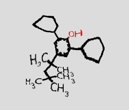 CC(C)(C)CC(C)(C)c1cc(C2CCCCC2)c(O)c(C2CCCCC2)c1